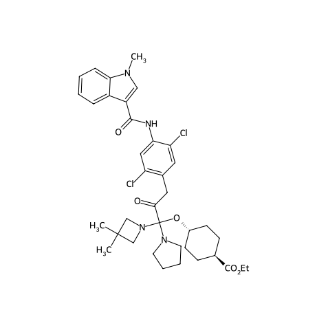 CCOC(=O)[C@H]1CC[C@H](OC(C(=O)Cc2cc(Cl)c(NC(=O)c3cn(C)c4ccccc34)cc2Cl)(N2CCCC2)N2CC(C)(C)C2)CC1